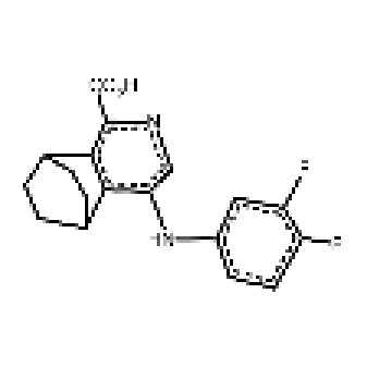 O=C(O)c1ncc(Nc2ccc(F)c(F)c2)c2c1C1CCC2CC1